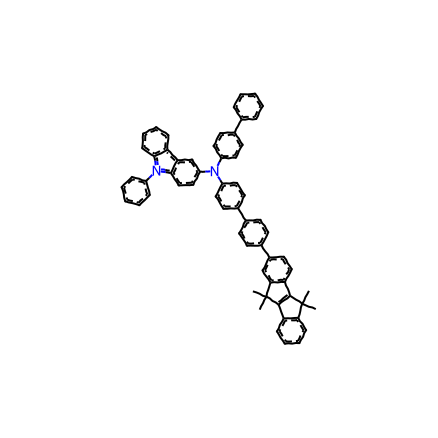 CC1(C)C2=C(c3ccccc31)C(C)(C)c1cc(-c3ccc(-c4ccc(N(c5ccc(-c6ccccc6)cc5)c5ccc6c(c5)c5ccccc5n6-c5ccccc5)cc4)cc3)ccc12